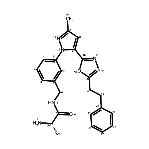 C[C@H](N)C(=O)NCc1cccc(-n2nc(C(F)(F)F)cc2-c2nnc(CCc3ccccc3)o2)c1